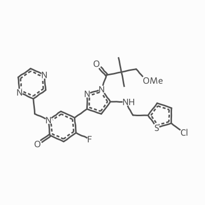 COCC(C)(C)C(=O)n1nc(-c2cn(Cc3cnccn3)c(=O)cc2F)cc1NCc1ccc(Cl)s1